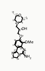 COc1c(OC[C@@H](O)CN2C[C@@H](C)O[C@@H](C)C2)ccc2c1N=C(N)N1CCN=C21